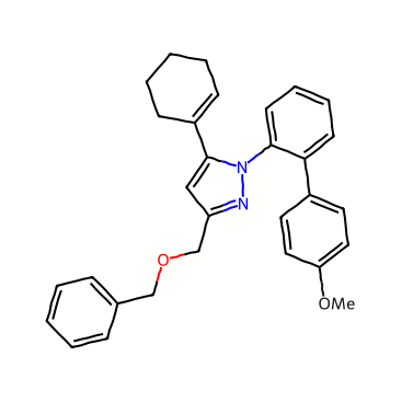 COc1ccc(-c2ccccc2-n2nc(COCc3ccccc3)cc2C2=CCCCC2)cc1